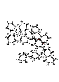 C1=CC(C2(c3ccccc3)c3ccccc3-c3ccc(N(c4ccc(-c5ccc6ccccc6c5-c5ccc(-c6ccccc6)cc5)cc4)c4ccccc4-c4ccccc4)cc32)=CCC1